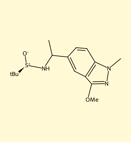 COc1nn(C)c2ccc(C(C)N[S@+]([O-])C(C)(C)C)cc12